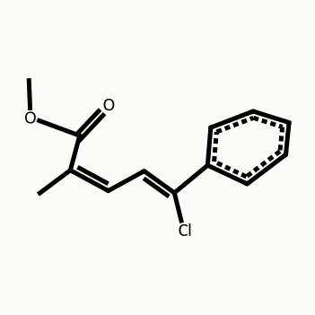 COC(=O)C(C)=CC=C(Cl)c1ccccc1